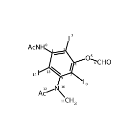 CC(=O)Nc1c(I)c(OC=O)c(I)c(N(C)C(C)=O)c1I